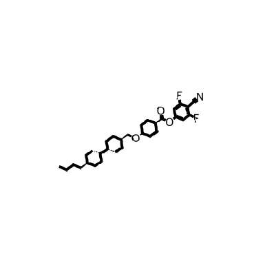 CCCC[C@H]1CC[C@H]([C@H]2CC[C@H](CO[C@H]3CC[C@H](C(=O)Oc4cc(F)c(C#N)c(F)c4)CC3)CC2)CC1